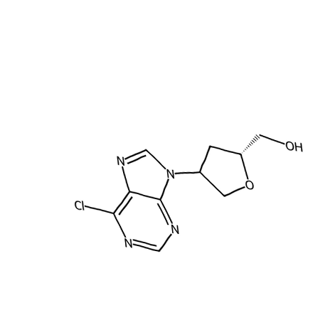 OC[C@H]1CC(n2cnc3c(Cl)ncnc32)CO1